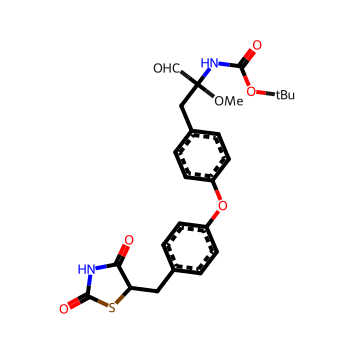 COC(C=O)(Cc1ccc(Oc2ccc(CC3SC(=O)NC3=O)cc2)cc1)NC(=O)OC(C)(C)C